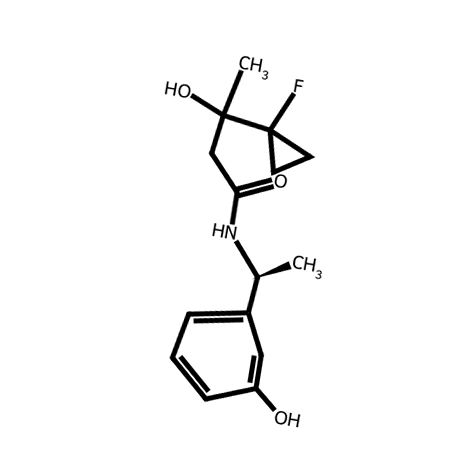 C[C@H](NC(=O)CC(C)(O)C1(F)CC1)c1cccc(O)c1